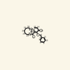 O=C1c2c(OCc3ccccc3)c(=O)ccn2N2CCCCCN1C2